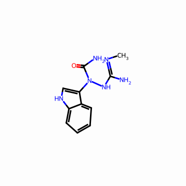 CN=C(N)NN(C(N)=O)c1c[nH]c2ccccc12